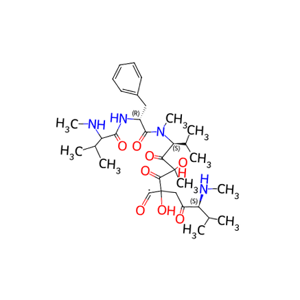 CNC(C(=O)N[C@H](Cc1ccccc1)C(=O)N(C)[C@H](C(=O)C(C)(O)C(=O)C(O)([C]=O)CC(=O)[C@@H](NC)C(C)C)C(C)C)C(C)C